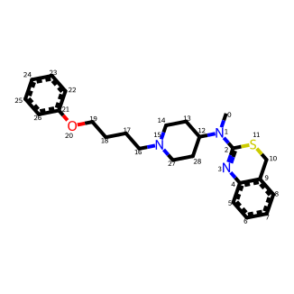 CN(C1=Nc2ccccc2CS1)C1CCN(CCCCOc2ccccc2)CC1